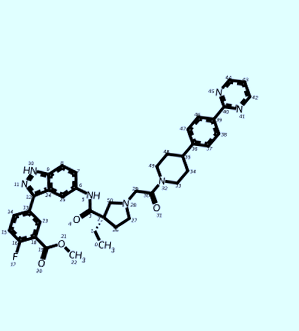 CC[C@@]1(C(=O)Nc2ccc3[nH]nc(-c4ccc(F)c(C(=O)OC)c4)c3c2)CCN(CC(=O)N2CCC(c3ccc(-c4ncccn4)cc3)CC2)C1